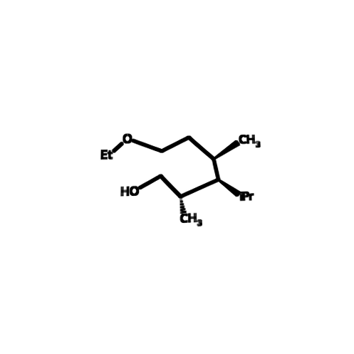 CCOCC[C@@H](C)[C@@H](C(C)C)[C@H](C)CO